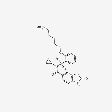 [2H]C([2H])(c1ccccc1OCCCCCC(=O)O)N(C(=O)c1ccc2c(c1)CC(=O)N2)C1CC1